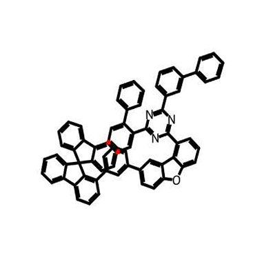 c1ccc(-c2cccc(-c3nc(-c4ccccc4-c4ccccc4)nc(-c4cccc5oc6ccc(-c7cccc(-c8cccc9c8C8(c%10ccccc%10-c%10ccccc%108)c8ccccc8-9)c7)cc6c45)n3)c2)cc1